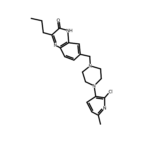 CCCc1nc2ccc(CN3CCN(c4ccc(C)nc4Cl)CC3)cc2[nH]c1=O